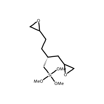 CO[Si](C[C@H](CCC1CO1)CC1CO1)(OC)OC